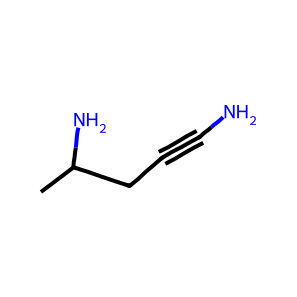 CC(N)CC#CN